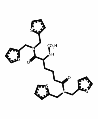 O=C(O)NC(CCCC(=O)N(Cc1cccs1)Cc1cccs1)C(=O)N(Cc1cccs1)Cc1cccs1